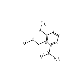 CCc1cccc(N(C)N)c1COC